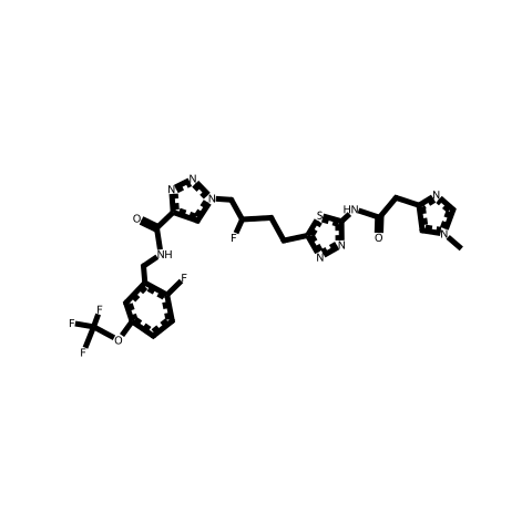 Cn1cnc(CC(=O)Nc2nnc(CCC(F)Cn3cc(C(=O)NCc4cc(OC(F)(F)F)ccc4F)nn3)s2)c1